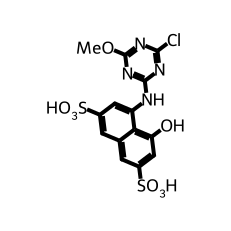 COc1nc(Cl)nc(Nc2cc(S(=O)(=O)O)cc3cc(S(=O)(=O)O)cc(O)c23)n1